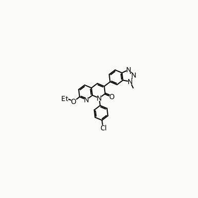 CCOc1ccc2cc(-c3ccc4nnn(C)c4c3)c(=O)n(-c3ccc(Cl)cc3)c2n1